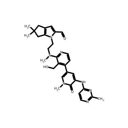 Cc1nccc(Nc2cc(-c3ccnc(N(C)CCn4c(C=O)cc5c4CC(C)(C)C5)c3CO)cn(C)c2=O)n1